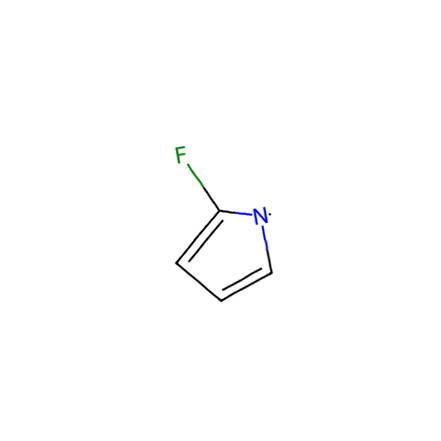 FC1=CC=C[N]1